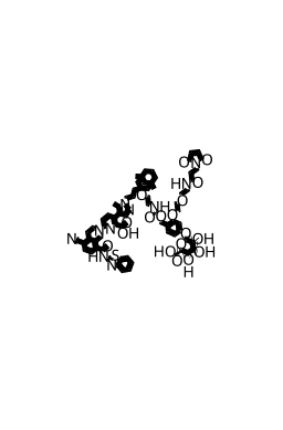 Cc1c(-c2ccc(N3CCc4c(C#N)ccc(C(=O)Nc5nc6ccccc6s5)c4C3)nc2C(=O)O)cnn1CCCC1(OCCNC(=O)OCc2ccc(O[C@@H]3O[C@H](C(=O)O)[C@@H](O)[C@H](O)[C@H]3O)cc2OCCOCCNC(=O)CCN2C(=O)C=CC2=O)CC2(C)CCCC(C)(C2)C1